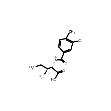 CC[C@H](C)[C@H](NC(=O)c1ccc(C)c(Cl)c1)C(=O)O